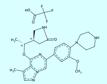 COc1cc(-c2cn3ncc(C)c3c(O[C@H](C)[C@H]3CNC(=O)C3)n2)ccc1N1CCNCC1.O=C(O)C(F)(F)F